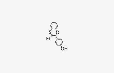 CCC1=C(c2ccc(O)cc2)Oc2ccccc2S1